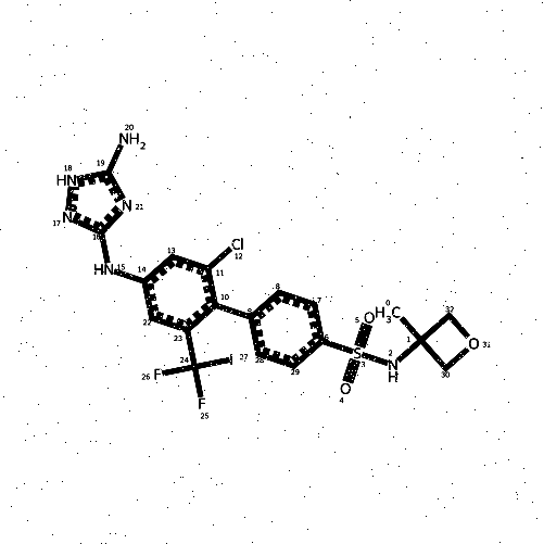 CC1(NS(=O)(=O)c2ccc(-c3c(Cl)cc(Nc4n[nH]c(N)n4)cc3C(F)(F)I)cc2)COC1